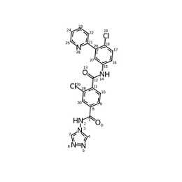 O=C(Nn1cnnc1)c1ccc(C(=O)Nc2ccc(Cl)c(-c3ccccn3)c2)c(Cl)c1